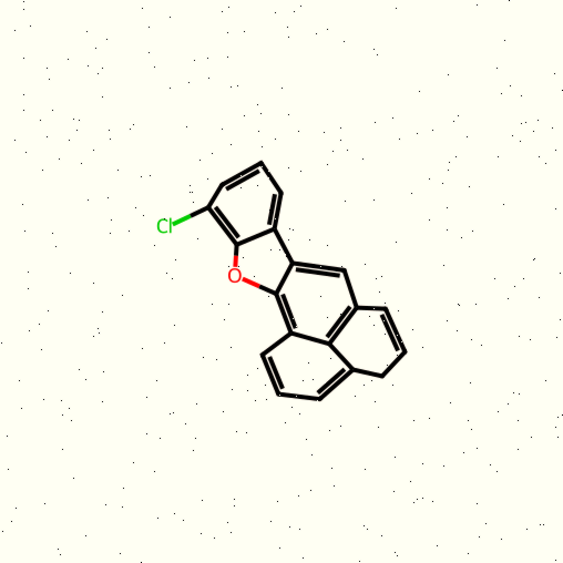 Clc1cccc2c1oc1c3cccc4c3c(cc21)C=CC4